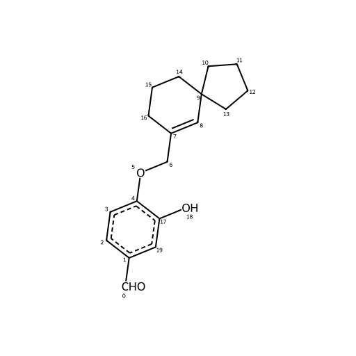 O=Cc1ccc(OCC2=CC3(CCCC3)CCC2)c(O)c1